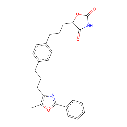 Cc1oc(-c2ccccc2)nc1CCCc1ccc(CCCC2OC(=O)NC2=O)cc1